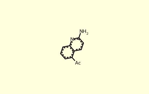 CC(=O)c1cccc2nc(N)ccc12